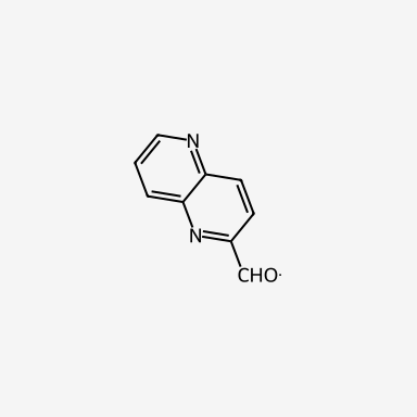 O=[C]c1ccc2ncccc2n1